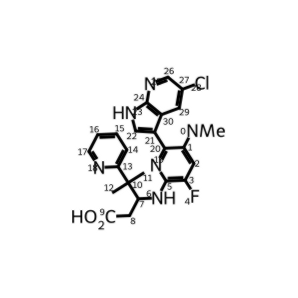 CNc1cc(F)c(NC(CC(=O)O)C(C)(C)c2ccccn2)nc1-c1c[nH]c2ncc(Cl)cc12